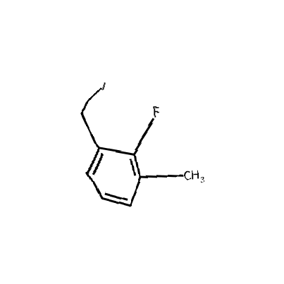 Cc1cccc(CI)c1F